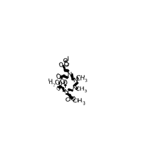 COC(=O)CCN(CCC(=O)OC)CCN(C)CCN(C)CCN(CCC(=O)OOI)CCC(=O)OOI